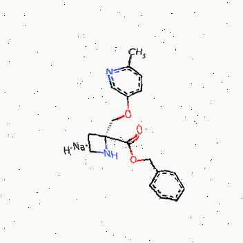 Cc1ccc(OC[C@@]2(C(=O)OCc3ccccc3)CCN2)cn1.[H-].[Na+]